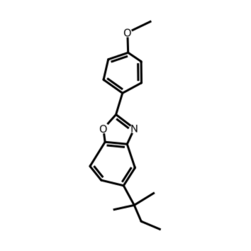 CCC(C)(C)c1ccc2oc(-c3ccc(OC)cc3)nc2c1